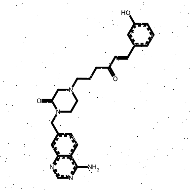 Nc1ncnc2cc(CN3CCN(CCCC(=O)C=Cc4cccc(O)c4)CC3=O)ccc12